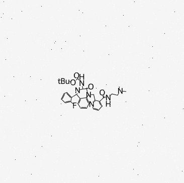 CN(C)CCNC(=O)c1cccnc1CN1C(=O)C(NC(=O)OC(C)(C)C)N=C(c2ccccc2F)c2ccccc21